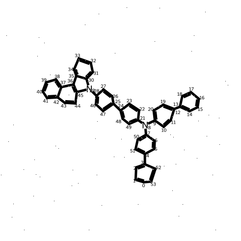 c1ccc(-c2ccc(N(c3ccc(-c4ccccc4)cc3)c3ccc(-c4ccc(-n5c6ccccc6c6c7ccccc7ccc65)cc4)cc3)cc2)cc1